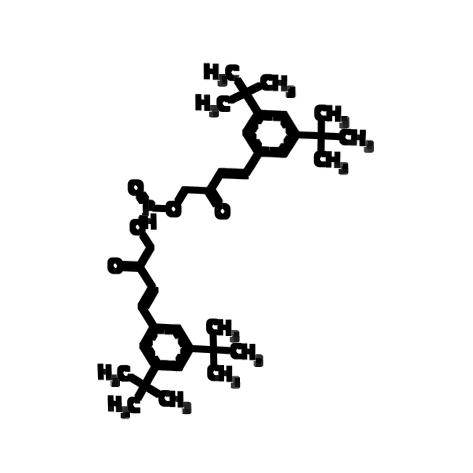 CC(C)(C)c1cc(C=CC(=O)CO[PH](=O)OCC(=O)C=Cc2cc(C(C)(C)C)cc(C(C)(C)C)c2)cc(C(C)(C)C)c1